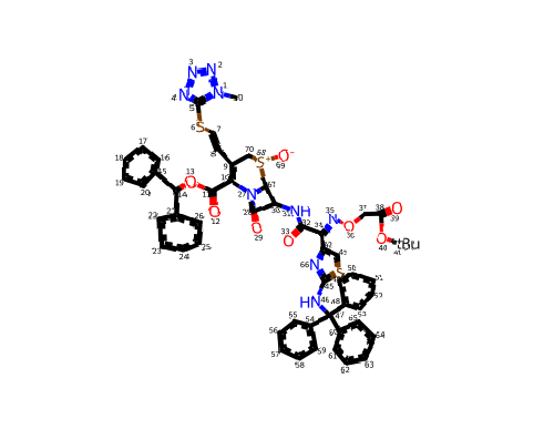 Cn1nnnc1SC=CC1=C(C(=O)OC(c2ccccc2)c2ccccc2)N2C(=O)C(NC(=O)C(=NOCC(=O)OC(C)(C)C)c3csc(NC(c4ccccc4)(c4ccccc4)c4ccccc4)n3)C2[S+]([O-])C1